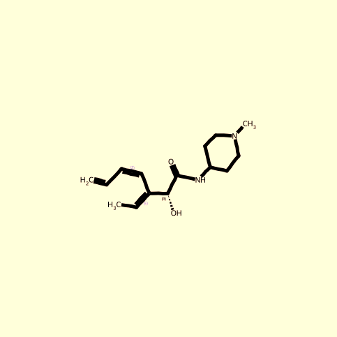 C=C/C=C\C(=C/C)[C@@H](O)C(=O)NC1CCN(C)CC1